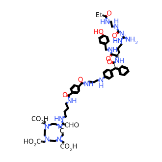 CCC(=O)NCCNC(=O)/N=C(/N)NCCC[C@@H](NC(=O)[C@H](c1ccccc1)c1ccc(NCCCNC(=O)c2ccc(C(=O)NCCCCNC(C=O)N3CCN(CC(=O)O)CCN(CC(=O)O)CCN(CC(=O)O)CC3)cc2)cc1)C(=O)NCc1ccc(O)cc1